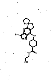 O=C(NCCO)C1CCC(Nc2c3c(nc4c(Br)cnn24)C2(CCCC2)CC3)CC1